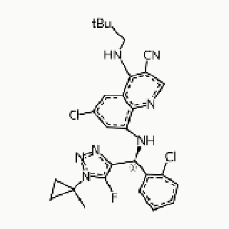 CC(C)(C)CNc1c(C#N)cnc2c(N[C@@H](c3ccccc3Cl)c3nnn(C4(C)CC4)c3F)cc(Cl)cc12